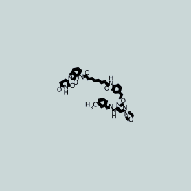 Cc1cccc(/C=N/Nc2cc(N3CCOCC3)nc(OCCc3ccc(NC(=O)CCCCCCC(=O)Nc4cccc5c4C(=O)N(C4CCC(=O)NC4=O)C5)cc3)n2)c1